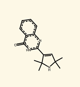 CC1(C)C=C(c2nc3ccccc3c(=O)[nH]2)C(C)(C)N1